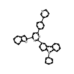 c1ccc(-n2c3ccccc3c3cc(-c4nc(-c5ccc(-c6cccnc6)cc5)cc(-c5cc6ccccc6o5)n4)ccc32)cc1